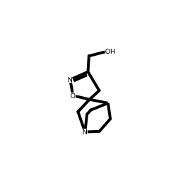 OCC1=NOC2(C1)CN1CCC2CC1